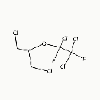 FC(Cl)(Cl)C(F)(Cl)OC(CCl)CCl